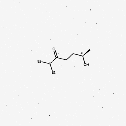 CCN(CC)C(=O)CC[C@@H](C)O